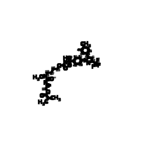 Cc1ccc(-c2cc(C(F)(F)F)nn2-c2ccc(S(=O)(=O)NC(=O)OCCCCN(C)[N+]([O-])=NOCOC(=O)C(C)C)cc2)cc1